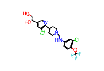 OC[C@@H](O)c1cnc(C2=CCN(CNc3ccc(OC(F)(F)F)c(Cl)c3)CC2)c(Cl)c1